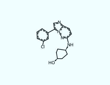 O[C@H]1CC[C@@H](Nc2ccc3ncc(-c4cccc(Cl)c4)n3n2)CC1